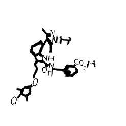 Cc1cc(OCCCc2c(C(=O)NCc3cccc(C(=O)O)c3)[nH]c3c(-c4c(C)n[nH]c4C)cccc23)cc(C)c1Cl